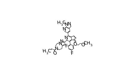 C=CC(=O)N1CCc2cc(-c3nc(-c4cnc5c(cnn5C)c4)c4ccsc4c3-c3c(F)cc(F)cc3OCCOC)nn2CC1